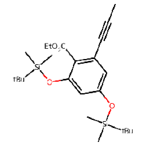 CC#Cc1cc(O[Si](C)(C)C(C)(C)C)cc(O[Si](C)(C)C(C)(C)C)c1C(=O)OCC